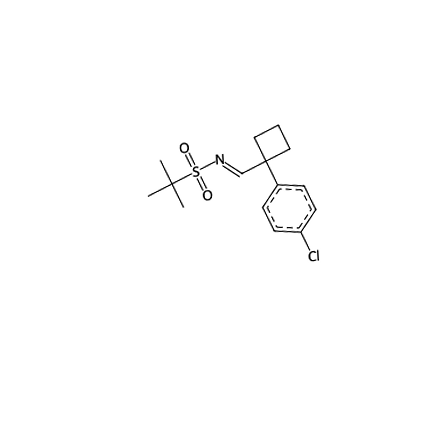 CC(C)(C)S(=O)(=O)N=CC1(c2ccc(Cl)cc2)CCC1